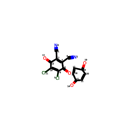 N#CC1=C(C#N)C(=O)C(Cl)=C(Cl)C1=O.O=C1C=CC(=O)C=C1